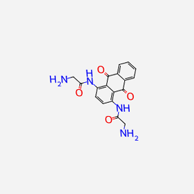 NCC(=O)Nc1ccc(NC(=O)CN)c2c1C(=O)c1ccccc1C2=O